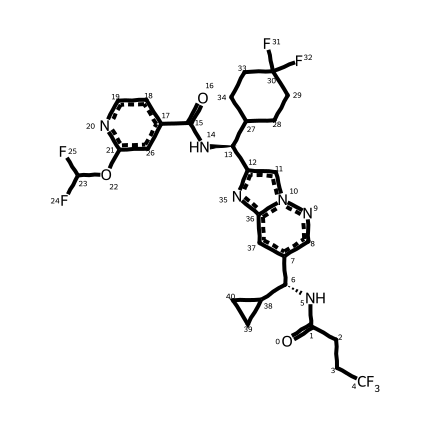 O=C(CCC(F)(F)F)N[C@@H](c1cnn2cc([C@@H](NC(=O)c3ccnc(OC(F)F)c3)C3CCC(F)(F)CC3)nc2c1)C1CC1